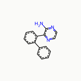 Nc1nccnc1-c1ccccc1-c1ccccc1